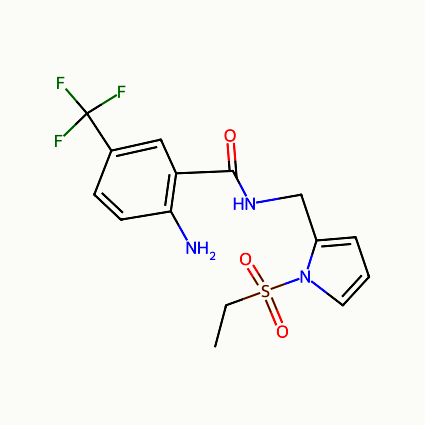 CCS(=O)(=O)n1cccc1CNC(=O)c1cc(C(F)(F)F)ccc1N